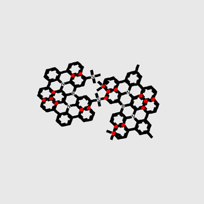 Cc1cc(-c2ccccc2)c(N2c3cc([Si](C)(C)C)ccc3B3c4ccc([Si](C)(C)C)cc4N(c4c(-c5ccccc5)cc(C)cc4-c4cccc(C[Si](C)(C)c5ccc6c(c5)B5c7cc([Si](C)(C)C)ccc7N(c7c(-c8ccccc8)cccc7-c7ccccc7)c7cccc(c75)N6c5c(-c6ccccc6)cccc5-c5ccccc5)c4)c4cccc2c43)c(-c2ccccc2)c1